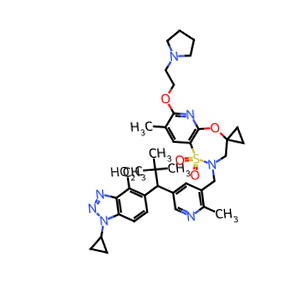 Cc1cc2c(nc1OCCN1CCCC1)OC1(CC1)CN(Cc1cc(C(c3ccc4c(nnn4C4CC4)c3C)C(C)(C)C(=O)O)cnc1C)S2(=O)=O